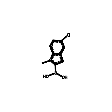 Cn1c(B(O)O)cc2cc(Cl)ccc21